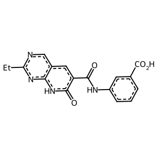 CCc1ncc2cc(C(=O)Nc3cccc(C(=O)O)c3)c(=O)[nH]c2n1